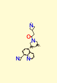 C[C@@H]1C[C@H](c2ccc(C3C=N3)c3ncccc23)CN(C(=O)CC2CN(C)C2)C1